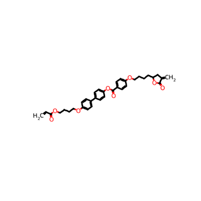 C=CC(=O)OCCCCOc1ccc(-c2ccc(OC(=O)c3ccc(OCCCCC4CC(=C)C(=O)O4)cc3)cc2)cc1